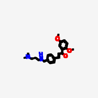 COc1ccc(OC)c(C(=O)C=Cc2ccc(CNCCCN(C)C)cc2)c1